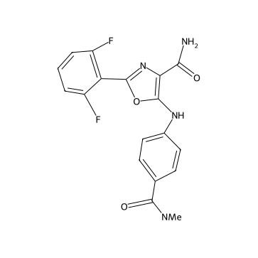 CNC(=O)c1ccc(Nc2oc(-c3c(F)cccc3F)nc2C(N)=O)cc1